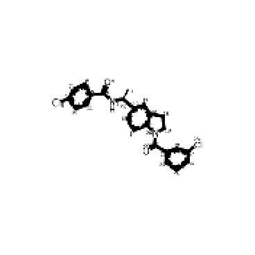 C[C@H](NC(=O)c1ccc(Cl)cc1)c1ccc2c(c1)CCN2C(=O)c1cccc(Cl)c1